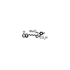 COCCOc1ccc(F)cc1C(C(=O)O)N1CCC(CCCCCc2ccc3c(n2)NCCC3)C1